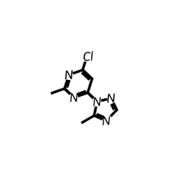 Cc1nc(Cl)cc(-n2ncnc2C)n1